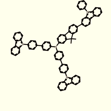 CC1(C)c2cc(-c3ccc4c5ccccc5n(-c5ccccc5)c4c3)ccc2-c2ccc(N(c3ccc(-c4ccc(-n5c6ccccc6c6ccccc65)cc4)cc3)c3ccc(-c4ccc(-n5c6ccccc6c6ccccc65)cc4)cc3)cc21